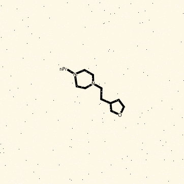 [CH2]CCN1CCN(CCC2CCOC2)CC1